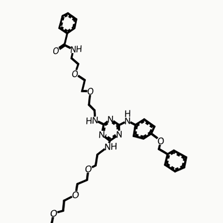 COCCOCCOCCNc1nc(NCCOCCOCCNC(=O)c2ccccc2)nc(Nc2ccc(OCc3ccccc3)cc2)n1